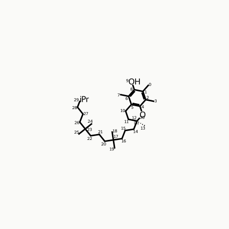 Cc1c(C)c2c(c(C)c1O)CC[C@](C)(CCCC(C)(C)CCCC(C)(C)CCCC(C)C)O2